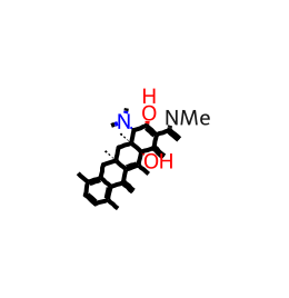 C=C(NC)C1=C(O)[C@@H](N(C)C)[C@]2(C)C[C@]3(C)Cc4c(C)ccc(C)c4C(=C)C3=C(C)[C@]2(O)C1=C